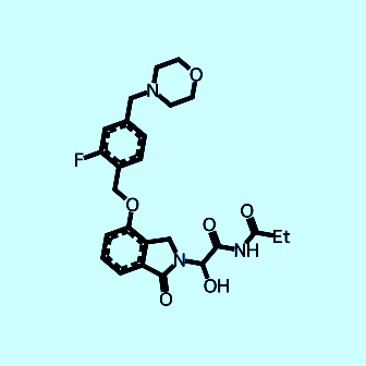 CCC(=O)NC(=O)C(O)N1Cc2c(OCc3ccc(CN4CCOCC4)cc3F)cccc2C1=O